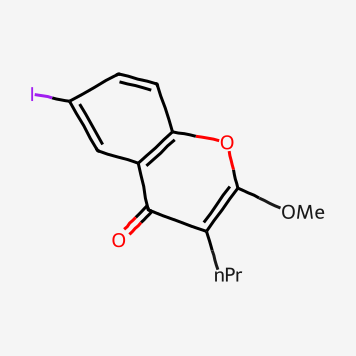 CCCc1c(OC)oc2ccc(I)cc2c1=O